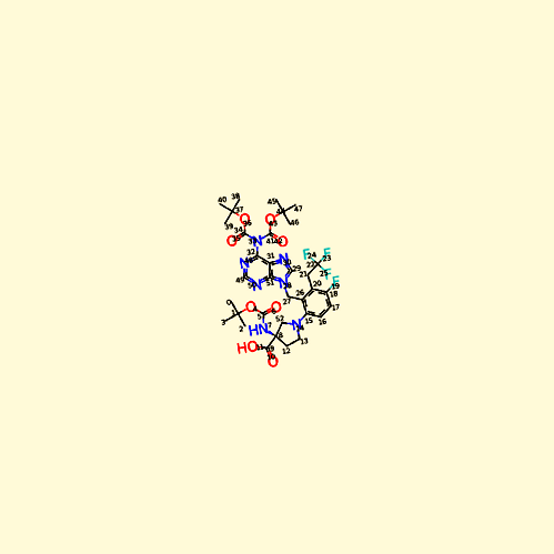 CC(C)(C)OC(=O)N[C@]1(C(=O)O)CCN(c2ccc(F)c(CC(F)(F)F)c2Cn2cnc3c(N(C(=O)OC(C)(C)C)C(=O)OC(C)(C)C)ncnc32)C1